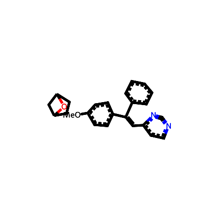 C1CC2CC1O2.COc1ccc(C(=Cc2ccncn2)c2ccccc2)cc1